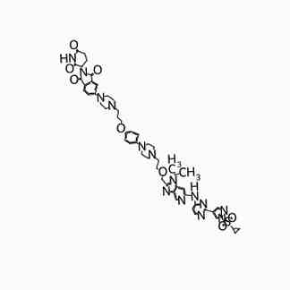 CC(C)n1c(COCCN2CCN(c3ccc(OCCCN4CCN(c5ccc6c(c5)C(=O)N(C5CCC(=O)NC5=O)C6=O)CC4)cc3)CC2)nc2cnc(Nc3ccnc(-c4cnn(S(=O)(=O)C5CC5)c4)n3)cc21